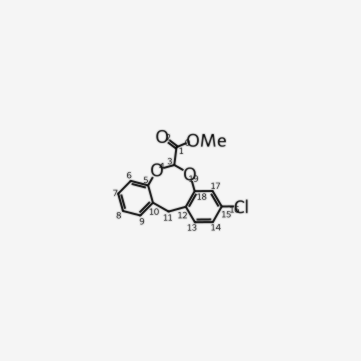 COC(=O)C1Oc2ccccc2Cc2ccc(Cl)cc2O1